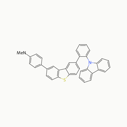 CNc1ccc(-c2ccc3sc4ccc(-c5ccccc5-n5c6ccccc6c6ccccc65)cc4c3c2)cc1